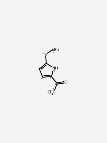 CCCCSc1ccc(C(=O)C(Cl)(Cl)Cl)[nH]1